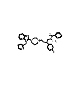 CN(CC(CCN1CCCN(c2nc3ccccc3n2Cc2ccccn2)CC1)c1ccc(F)cc1)C(=O)c1ccccc1